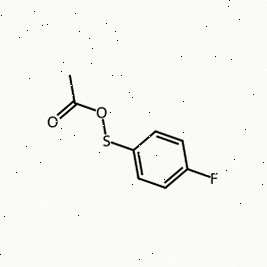 CC(=O)OSc1ccc(F)cc1